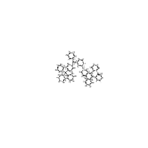 c1ccc(-c2c(-c3ccccc3)c3cc(-c4cccc(N(c5ccccc5)c5ccc6c(c5)-c5ccccc5C6(c5ccccc5)c5ccccc5)c4)ccc3c3ccccc23)cc1